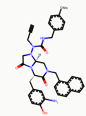 C#CCN(C(=O)NCc1ccc(OC)cc1)N1CC(=O)N2[C@@H](Cc3ccc(O)c(N)c3)C(=O)N(Cc3cccc4ccccc34)C[C@@H]21